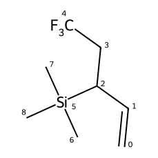 C=CC(CC(F)(F)F)[Si](C)(C)C